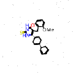 COc1ccccc1Cc1c(=O)[nH]c(=S)[nH]c1[C@H]1CC[C@H](C2C=CC=CC2)CC1